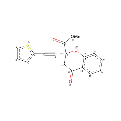 COC(=O)[C@]1(C#Cc2cccs2)CC(=O)c2ccccc2O1